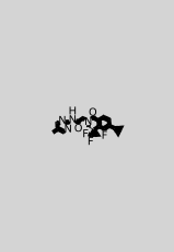 Cc1cnc(NC(=O)CN2C[C@@]3(CC3(F)F)c3c(ccc(C4CC4)c3F)C2=O)nc1